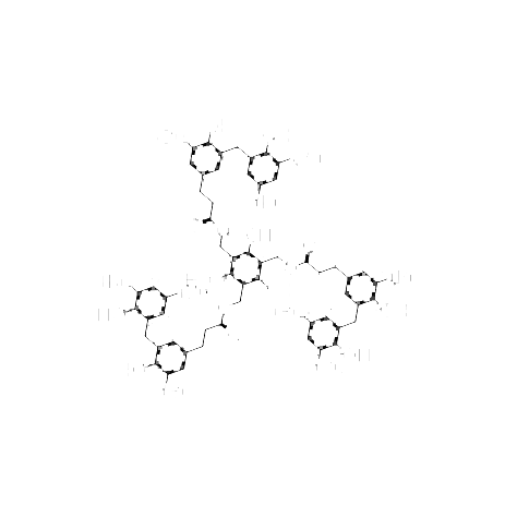 Cc1c(COC(=O)CCc2cc(Cc3cc(C(C)(C)C)cc(C(C)(C)C)c3O)c(O)c(C(C)(C)C)c2)c(C)c(COC(=O)CCc2cc(Cc3cc(C(C)(C)C)cc(C(C)(C)C)c3O)c(O)c(C(C)(C)C)c2)c(C)c1COC(=O)CCc1cc(Cc2cc(C(C)(C)C)cc(C(C)(C)C)c2O)c(O)c(C(C)(C)C)c1